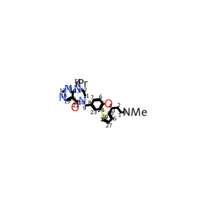 CNCCC(Oc1ccc(CN2CCN(C(C)C)c3ncncc3C2=O)cc1)c1cccs1